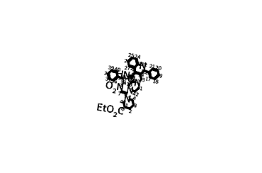 CCOC(=O)C1CCCN(/C(=C/[N+](=O)[O-])N2CCN(Cc3c(-c4ccccc4)nc4ccccc4c3C(=O)N[C@@H](C)c3ccccc3)CC2)C1